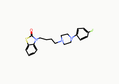 O=c1sc2ccccc2n1CCCCN1CCN(c2ccc(F)cc2)CC1